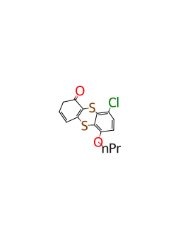 CCCOc1ccc(Cl)c2c1SC1=C(S2)C(=O)CC=C1